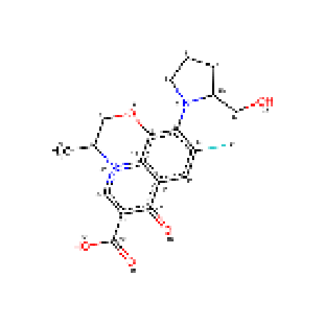 CC1COc2c(N3CCCC3CO)c(F)cc3c(=O)c(C(=O)O)cn1c23